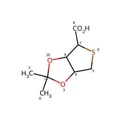 CC1(C)OC2CSC(C(=O)O)C2O1